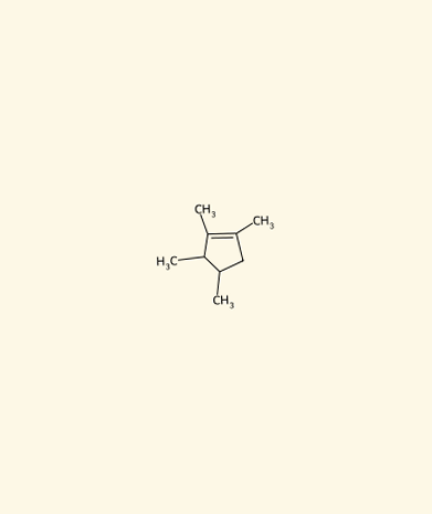 CC1=C(C)C(C)C(C)C1